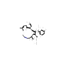 COc1c(F)cccc1Nc1c2[nH]c3c1C(=O)NC[C@H]3C/C=C\COc1nc3c-2ccnc3cc1C